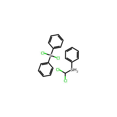 ClC(Cl)[SiH2]c1ccccc1.Cl[Si](Cl)(c1ccccc1)c1ccccc1